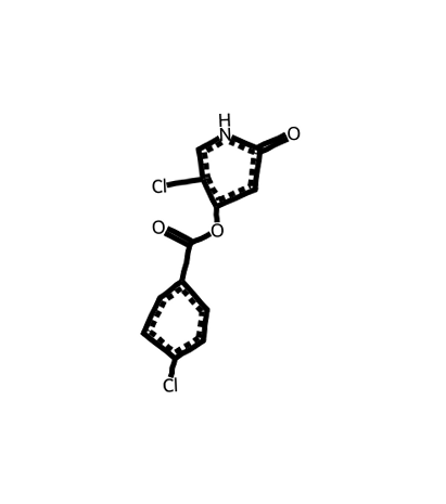 O=C(Oc1cc(=O)[nH]cc1Cl)c1ccc(Cl)cc1